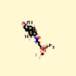 CCOP(=O)(CCCCCC(=O)NC1CC[C@H]2[C@@H]3CCC4N(C)C(=O)C=C[C@]4(C)[C@@H]3CC[C@]12C)OCC